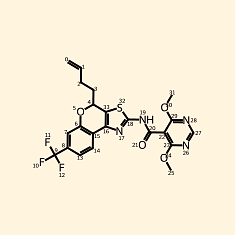 C=CCCC1Oc2cc(C(F)(F)F)ccc2-c2nc(NC(=O)c3c(OC)ncnc3OC)sc21